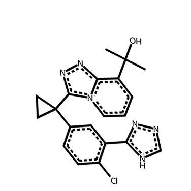 CC(C)(O)c1cccn2c(C3(c4ccc(Cl)c(-c5nnc[nH]5)c4)CC3)nnc12